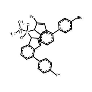 CC1=Cc2c(-c3ccc(C(C)C)cc3)cccc2[CH]1[Zr]([Cl])([Cl])([CH]1C(C(C)C)=Cc2c(-c3ccc(C(C)(C)C)cc3)cccc21)[SiH](C)C